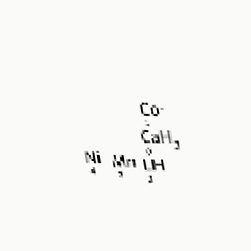 [CaH2].[Co].[LiH].[Mn].[Ni]